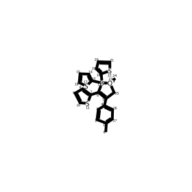 Cc1ccc(C2=C(c3cccs3)[B-](c3cccs3)(c3cccs3)[O+](C)C2)cc1